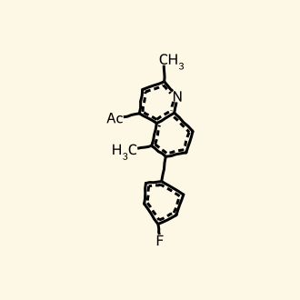 CC(=O)c1cc(C)nc2ccc(-c3ccc(F)cc3)c(C)c12